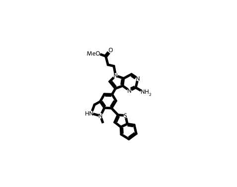 COC(=O)CCn1cc(-c2cc3c(c(-c4cc5ccccc5s4)c2)N(C)NC3)c2nc(N)ncc21